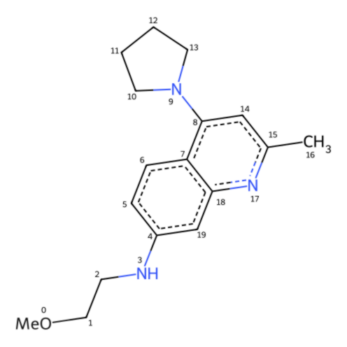 COCCNc1ccc2c(N3CCCC3)cc(C)nc2c1